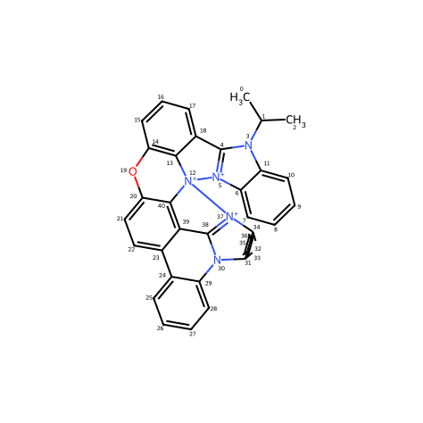 CC(C)n1c2[n+](c3ccccc31)[N+]13c4c(cccc4-2)Oc2ccc4c5ccccc5n5c6ccccc6[n+]1c5c4c23